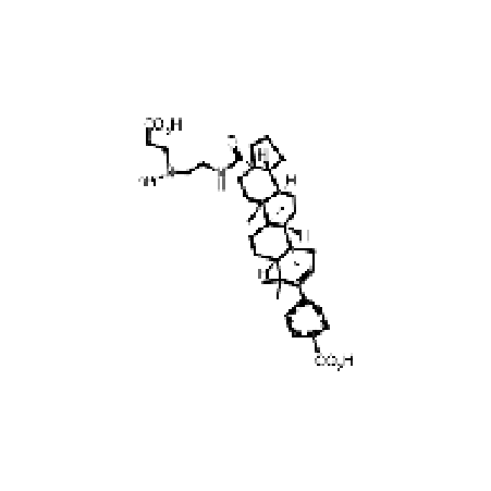 CCCN(CCNC(=O)[C@]12CCC[C@@H]1[C@H]1CC[C@@H]3[C@@]4(C)CC=C(c5ccc(C(=O)O)cc5)C(C)(C)[C@@H]4CC[C@@]3(C)[C@]1(C)CC2)CCC(=O)O